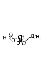 COCCC#Cc1cccc2c1CN(C(C)CCC(=O)N(C)C=O)C2=O